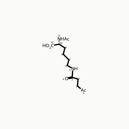 CC(=O)CCC(=O)NCCCC[C@@H](NC(C)=O)C(=O)O